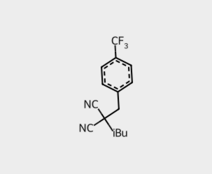 CCC(C)C(C#N)(C#N)Cc1ccc(C(F)(F)F)cc1